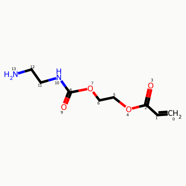 C=CC(=O)OCCOC(=O)NCCN